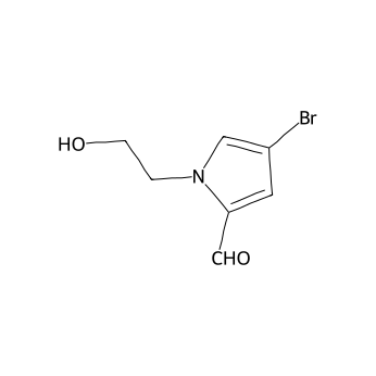 O=Cc1cc(Br)cn1CCO